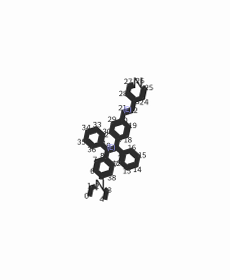 CCN(CC)c1ccc(/C(=C(\c2ccccc2)c2ccc(/C=C/c3ccncc3)cc2)c2ccccc2)cc1